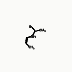 C/C=C\NC(C)Br